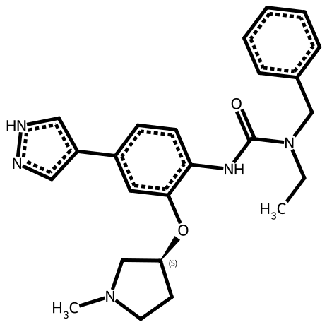 CCN(Cc1ccccc1)C(=O)Nc1ccc(-c2cn[nH]c2)cc1O[C@H]1CCN(C)C1